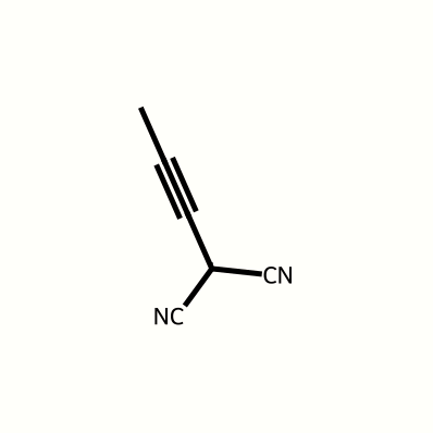 CC#C[C](C#N)C#N